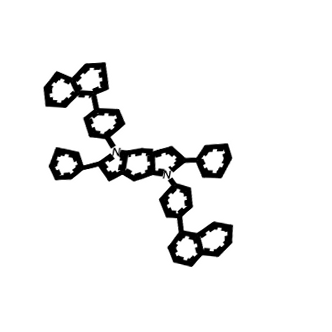 c1ccc(-c2cc3cc4c(cc(-c5ccccc5)n4-c4ccc(-c5cccc6ccccc56)cc4)cc3n2-c2ccc(-c3cccc4ccccc34)cc2)cc1